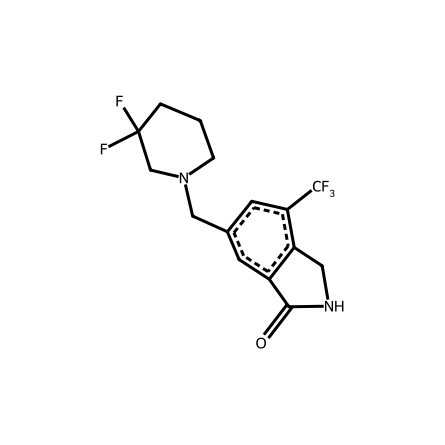 O=C1NCc2c1cc(CN1CCCC(F)(F)C1)cc2C(F)(F)F